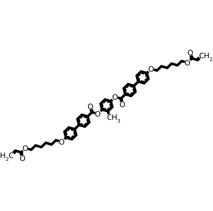 C=CC(=O)OCCCCCCOc1ccc(-c2ccc(C(=O)Oc3ccc(OC(=O)c4ccc(-c5ccc(OCCCCCCOC(=O)C=C)cc5)cc4)c(C)c3)cc2)cc1